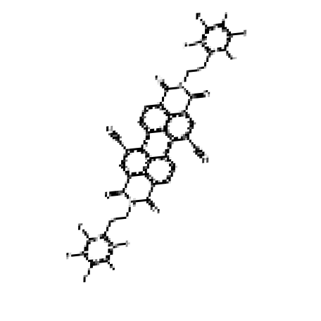 N#Cc1cc2c3c(ccc4c5c(C#N)cc6c7c(ccc(c1c34)c75)C(=O)N(CCc1c(F)c(F)c(F)c(F)c1F)C6=O)C(=O)N(CCc1c(F)c(F)c(F)c(F)c1F)C2=O